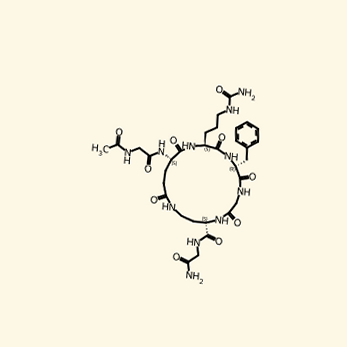 CC(=O)NCC(=O)N[C@H]1CCC(=O)NCC[C@@H](C(=O)NCC(N)=O)NC(=O)CNC(=O)[C@@H](Cc2ccccc2)NC(=O)[C@H](CCCNC(N)=O)NC1=O